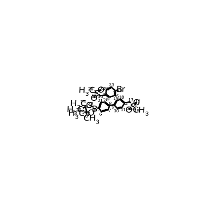 CC1(C)OB(c2ccc(-c3ccc(CS(C)(=O)=O)cc3)cc2)OC1(C)C.CS(=O)(=O)Cc1ccc(Br)cc1